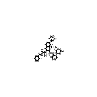 C[C@@H]1C[C@H](N)CN(c2ccncc2NC(=O)c2nc3cc(N4CCOCC4)ccc3cc2NC(=O)OCc2ccccc2)C1